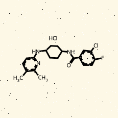 Cc1ccc(NC2CCC(NC(=O)c3ccc(F)c(Cl)c3)CC2)nc1C.Cl